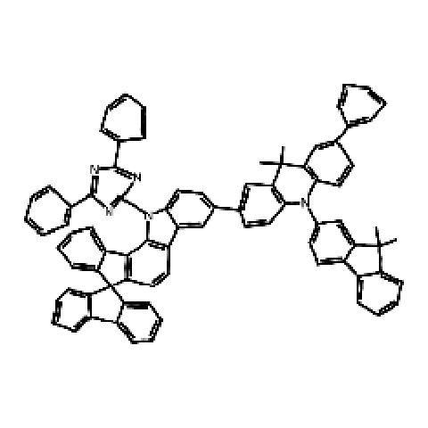 CC1(C)c2ccccc2-c2ccc(N3c4ccc(-c5ccccc5)cc4C(C)(C)c4cc(-c5ccc6c(c5)c5ccc7c(c5n6-c5nc(-c6ccccc6)nc(-c6ccccc6)n5)-c5ccccc5C75c6ccccc6-c6ccccc65)ccc43)cc21